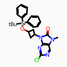 Cn1c(=O)n(C2CC(O[Si](c3ccccc3)(c3ccccc3)C(C)(C)C)C2)c2nc(Cl)ncc21